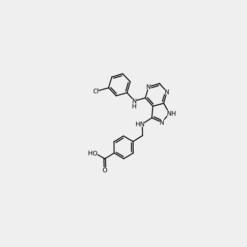 O=C(O)c1ccc(CNc2n[nH]c3ncnc(Nc4cccc(Cl)c4)c23)cc1